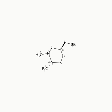 CN1C[C@@H](CC(C)(C)C)CC[C@@H]1C(F)(F)F